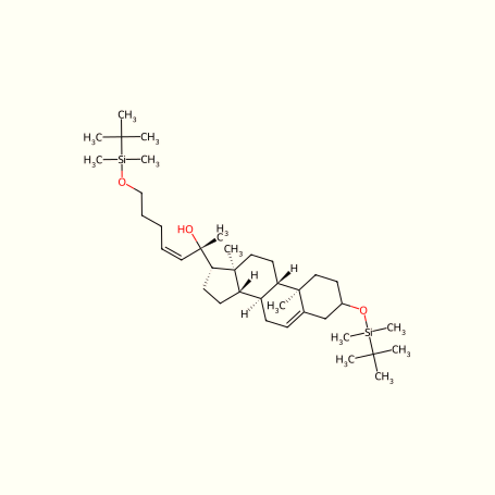 CC(C)(C)[Si](C)(C)OCCC/C=C\[C@](C)(O)[C@H]1CC[C@H]2[C@@H]3CC=C4CC(O[Si](C)(C)C(C)(C)C)CC[C@]4(C)[C@H]3CC[C@@]21C